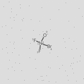 [O-][N+](F)(F)Br